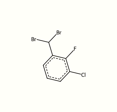 Fc1c(Cl)cccc1C(Br)Br